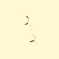 C=CC(=O)NOCC(=O)CC